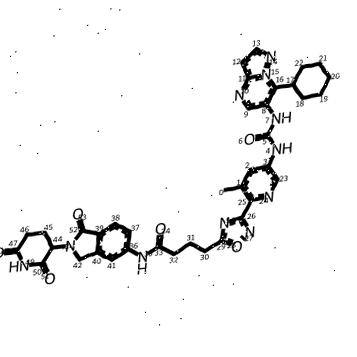 Cc1cc(NC(=O)Nc2cnc3ccnn3c2C2CCCCC2)cnc1-c1noc(CCCC(=O)Nc2ccc3c(c2)CN(C2CCC(=O)NC2=O)C3=O)n1